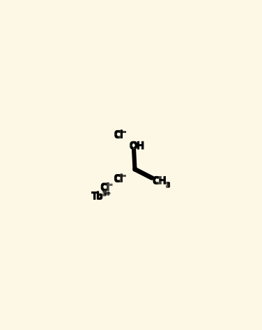 CCO.[Cl-].[Cl-].[Cl-].[Tb+3]